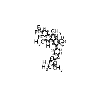 Cc1nc(N[C@H](C)c2cccc(C(F)F)c2F)c2cc(C3=CCN(CC(=O)OC(C)(C)C)CC3)c3c(c2n1)CCO3